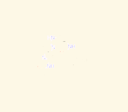 O=C(Nc1cccc(Nc2ccc3nc(NC(=O)C4CC4)sc3n2)c1)c1cccc(C(F)(F)F)c1